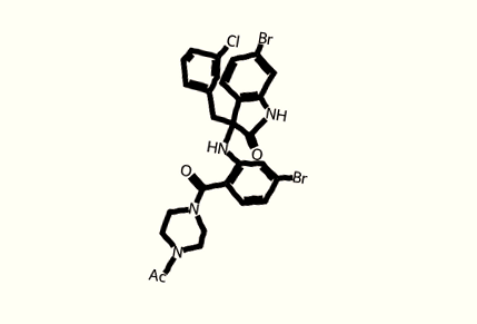 CC(=O)N1CCN(C(=O)c2ccc(Br)cc2NC2(Cc3cccc(Cl)c3)C(=O)Nc3cc(Br)ccc32)CC1